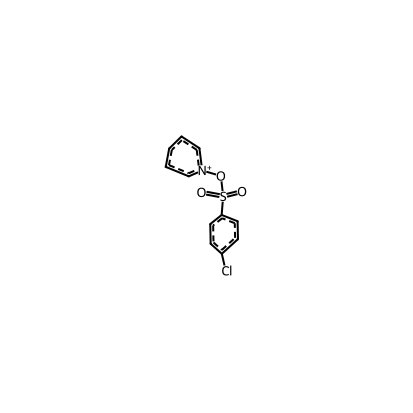 O=S(=O)(O[n+]1ccccc1)c1ccc(Cl)cc1